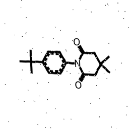 CC1(C)CC(=O)N(c2ccc(C(C)(C)C)cc2)C(=O)C1